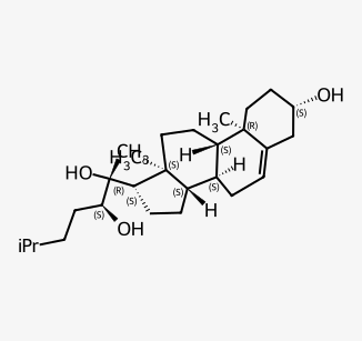 CC(C)CC[C@H](O)[C@](C)(O)[C@H]1CC[C@H]2[C@@H]3CC=C4C[C@@H](O)CC[C@]4(C)[C@H]3CC[C@]12C